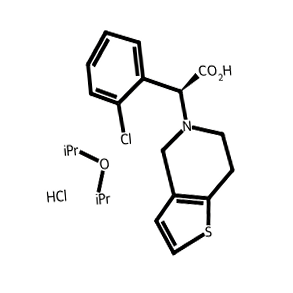 CC(C)OC(C)C.Cl.O=C(O)[C@H](c1ccccc1Cl)N1CCc2sccc2C1